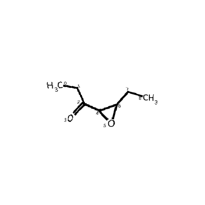 CCC(=O)C1OC1CC